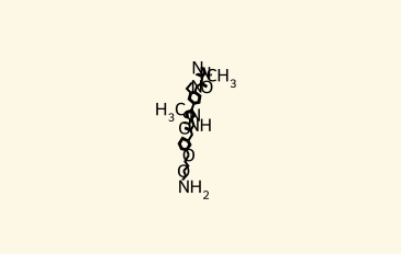 Cc1sc(NC(=O)Cc2cccc(OCCOCCN)c2)nc1-c1ccc2c(c1)CCN2C(=O)c1cncn1C